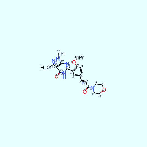 CCCOc1ccc(/C=C/C(=O)N2CCOCC2)cc1-c1nc2c(c(C)nn2CCC)c(=O)[nH]1